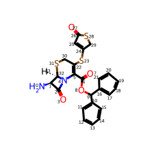 N[C@@H]1C(=O)N2C(C(=O)OC(c3ccccc3)c3ccccc3)=C(SC3=CC(=O)SC3)CS[C@H]12